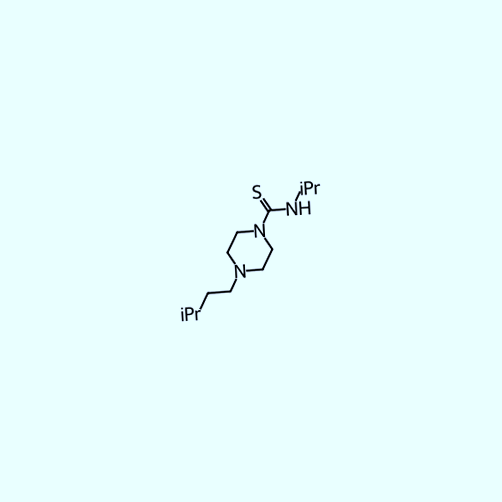 CC(C)CCN1CCN(C(=S)NC(C)C)CC1